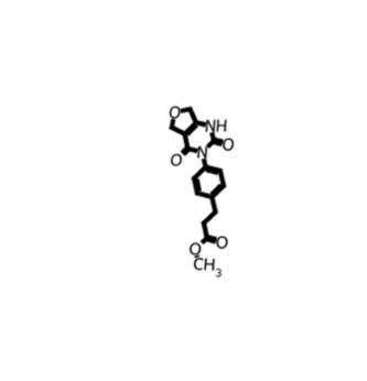 COC(=O)CCc1ccc(-n2c(=O)[nH]c3c(c2=O)COC3)cc1